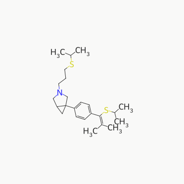 CC(C)=C(SC(C)C)c1ccc(C23CC2CN(CCCSC(C)C)C3)cc1